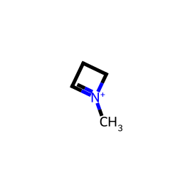 C[N+]1=CCC1